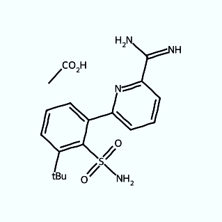 CC(=O)O.CC(C)(C)c1cccc(-c2cccc(C(=N)N)n2)c1S(N)(=O)=O